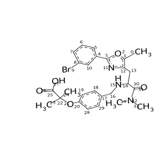 Cc1oc(-c2cccc(Br)c2)nc1CC(NCc1ccc(OC(C)(C)C(=O)O)cc1)C(=O)N(C)C